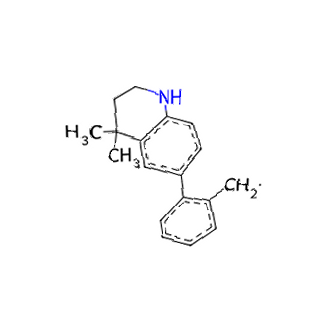 [CH2]c1ccccc1-c1ccc2c(c1)C(C)(C)CCN2